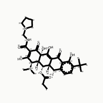 CCC(=O)O[C@H]1[C@@H]2C(=C(O)[C@]3(O)C(=O)C(C(=O)NCN4CCCC4)=C(O)[C@H](N(C)C)[C@@H]13)C(=O)c1c(ccc(C(C)(C)C)c1O)[C@@H]2C